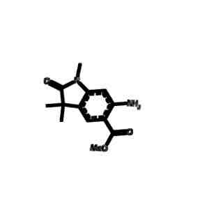 COC(=O)c1cc2c(cc1N)N(C)C(=O)C2(C)C